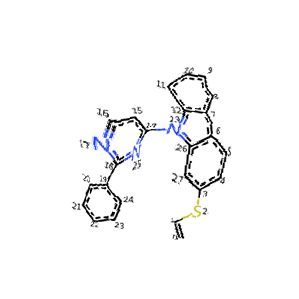 C=CSc1ccc2c3ccccc3n(-c3ccnc(-c4ccccc4)n3)c2c1